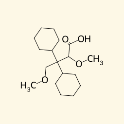 COCC(C1CCCCC1)(C1CCCCC1)C(OC)C(=O)O